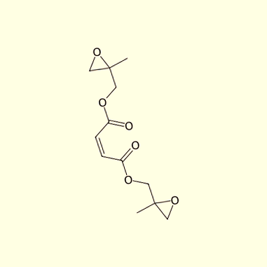 CC1(COC(=O)/C=C\C(=O)OCC2(C)CO2)CO1